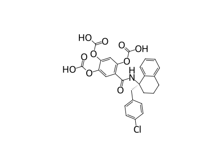 O=C(O)Oc1cc(OC(=O)O)c(C(=O)N[C@]2(Cc3ccc(Cl)cc3)CCCc3ccccc32)cc1OC(=O)O